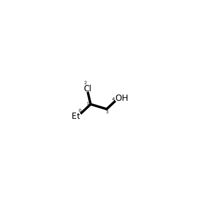 CCC(Cl)CO